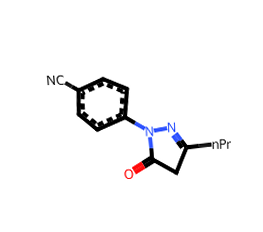 CCCC1=NN(c2ccc(C#N)cc2)C(=O)C1